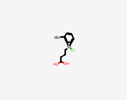 CC(C)(C)c1ccc[c]2[c]1[Sn]2([Cl])[CH2]CCC(O)O